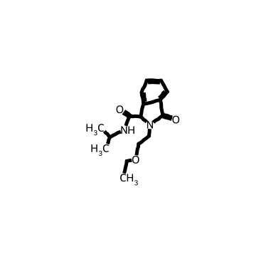 CCOCCN1C(=O)c2ccccc2C1C(=O)NC(C)C